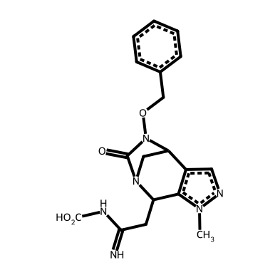 Cn1ncc2c1C(CC(=N)NC(=O)O)N1CC2N(OCc2ccccc2)C1=O